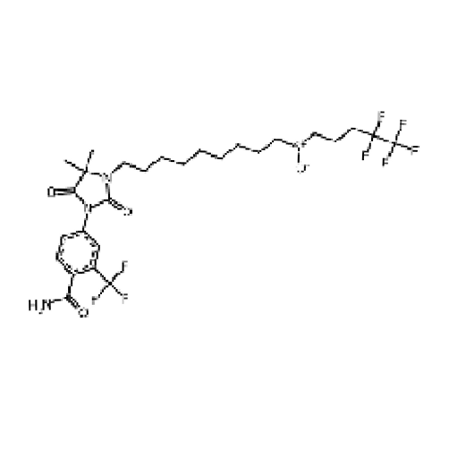 CC1(C)C(=O)N(c2ccc(C(N)=O)c(C(F)(F)F)c2)C(=O)N1CCCCCCCCC[S+]([O-])CCCC(F)(F)C(F)(F)F